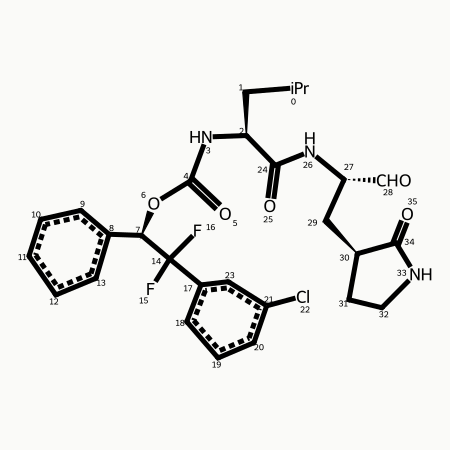 CC(C)C[C@H](NC(=O)O[C@H](c1ccccc1)C(F)(F)c1cccc(Cl)c1)C(=O)N[C@H](C=O)C[C@@H]1CCNC1=O